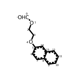 O=[C]OCCOc1ccc2ccccc2c1